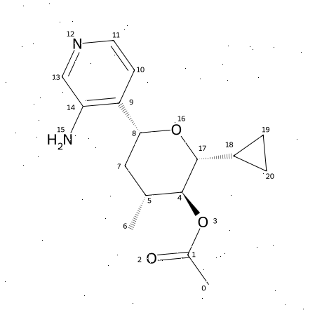 CC(=O)O[C@H]1[C@H](C)C[C@H](c2ccncc2N)O[C@@H]1C1CC1